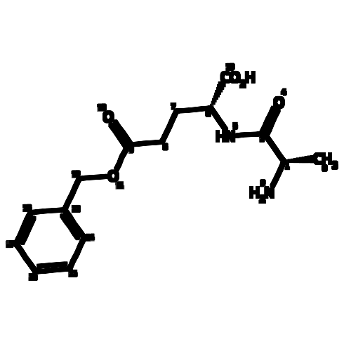 C[C@H](N)C(=O)N[C@H](CCC(=O)OCc1ccccc1)C(=O)O